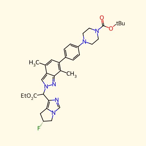 CCOC(=O)C(c1ncn2c1C[C@@H](F)C2)n1cc2c(C)cc(-c3ccc(N4CCN(C(=O)OC(C)(C)C)CC4)cc3)c(C)c2n1